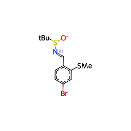 CSc1cc(Br)ccc1/C=N/[S+]([O-])C(C)(C)C